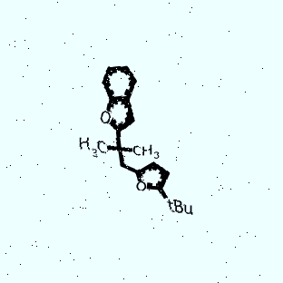 CC(C)(C)c1ccc(CC(C)(C)c2cc3ccccc3o2)o1